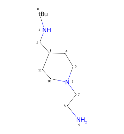 CC(C)(C)NCC1CCN(CCN)CC1